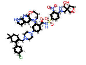 CC1(C)CCC(CN2CCN(c3ccc(C(=O)NS(=O)(=O)c4ccc(NCC5(CO)CCOC5)c([N+](=O)[O-])c4)c(N4CCCOc5nc6[nH]ccc6cc54)c3)CC2)=C(c2ccc(Cl)cc2)C1